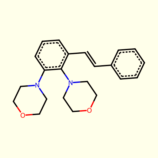 C(=Cc1cccc(N2CCOCC2)c1N1CCOCC1)c1ccccc1